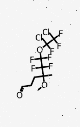 COC(C)(CCC=O)C(F)(F)C(F)(F)OC(F)(Cl)C(F)(F)Cl